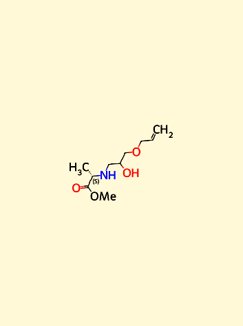 C=CCOCC(O)CN[C@@H](C)C(=O)OC